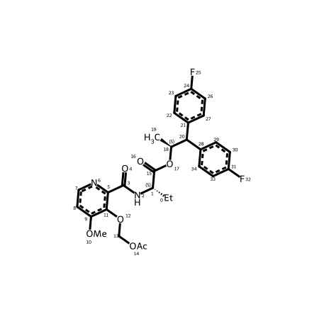 CC[C@H](NC(=O)c1nccc(OC)c1OCOC(C)=O)C(=O)O[C@@H](C)C(c1ccc(F)cc1)c1ccc(F)cc1